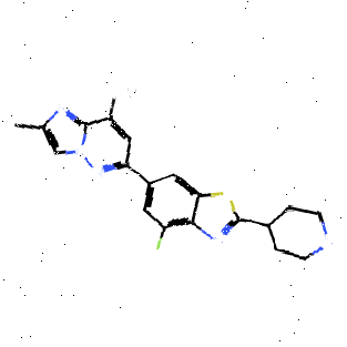 COc1cc(-c2cc(F)c3nc(C4CCNCC4)sc3c2)nn2cc(C)nc12